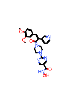 COc1ccc(C=C(C(=O)N2CCN(c3ncc(C(=O)NO)cn3)CC2)c2cccnc2)cc1OC